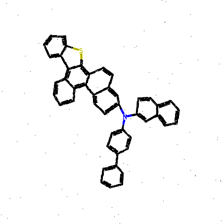 c1ccc(-c2ccc(N(c3ccc4ccccc4c3)c3ccc4c(ccc5c6sc7ccccc7c6c6ccccc6c45)c3)cc2)cc1